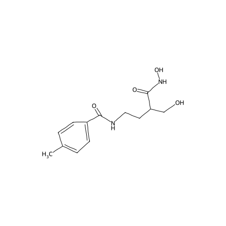 Cc1ccc(C(=O)NCCC(CO)C(=O)NO)cc1